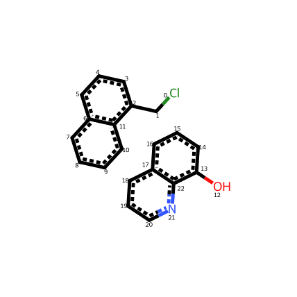 ClCc1cccc2ccccc12.Oc1cccc2cccnc12